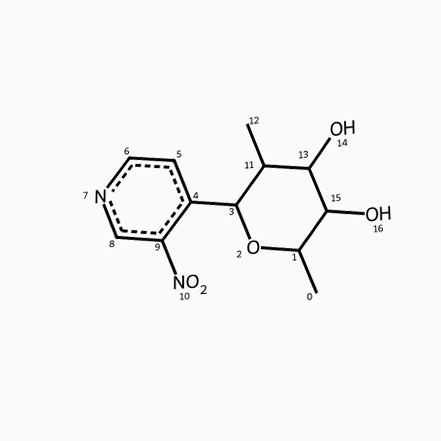 CC1OC(c2ccncc2[N+](=O)[O-])C(C)C(O)C1O